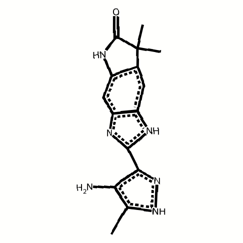 Cc1[nH]nc(-c2nc3cc4c(cc3[nH]2)C(C)(C)C(=O)N4)c1N